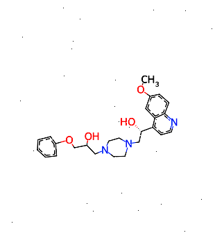 COc1ccc2nccc([C@@H](O)CN3CCN(CC(O)COc4ccccc4)CC3)c2c1